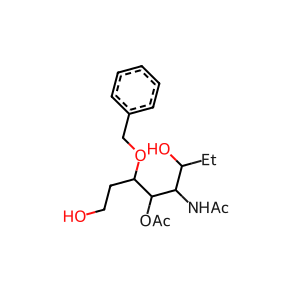 CCC(O)C(NC(C)=O)C(OC(C)=O)C(CCO)OCc1ccccc1